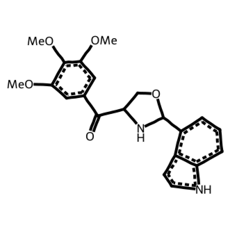 COc1cc(C(=O)C2COC(c3cccc4[nH]ccc34)N2)cc(OC)c1OC